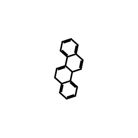 C1=CC2C(=CCc3ccccc32)c2ccccc21